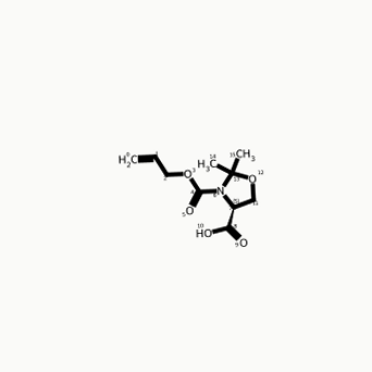 C=CCOC(=O)N1[C@H](C(=O)O)COC1(C)C